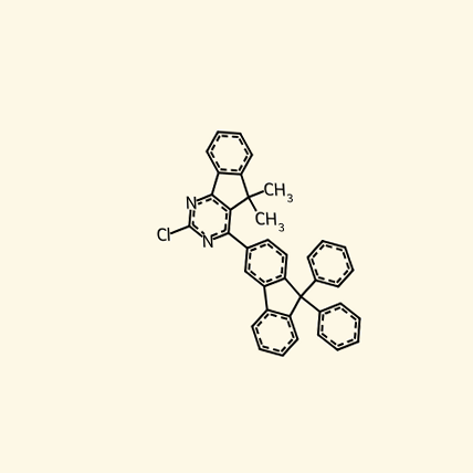 CC1(C)c2ccccc2-c2nc(Cl)nc(-c3ccc4c(c3)-c3ccccc3C4(c3ccccc3)c3ccccc3)c21